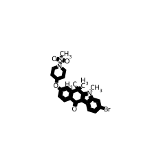 Cn1c2c(c3ccc(Br)cc31)C(=O)c1ccc(OC3CCN(S(C)(=O)=O)CC3)cc1C2(C)C